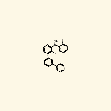 CC(C)(C)N(c1ccccc1F)c1cccc(-c2cccc(-c3ccccc3)c2)c1F